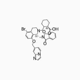 O=C(O)[C@@H]1CCCCC1C(=O)N1CCc2c(Br)ccc(OCc3ccn4ccnc4c3)c2[C@H]1CN1Cc2ccccc2C1=O